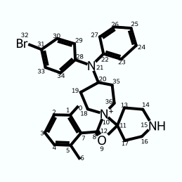 Cc1cccc(C)c1C(=O)[N+]1(C2(C)CCNCC2)CCC(N(c2ccccc2)c2ccc(Br)cc2)CC1